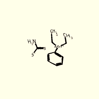 C[CH2][Mo+]([CH2]C)[c]1ccccc1.NC(=S)[S-]